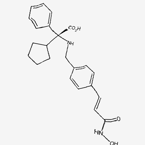 O=C(/C=C/c1ccc(CN[C@@](C(=O)O)(c2ccccc2)C2CCCC2)cc1)NO